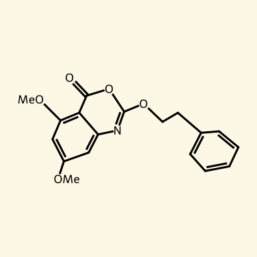 COc1cc(OC)c2c(=O)oc(OCCc3ccccc3)nc2c1